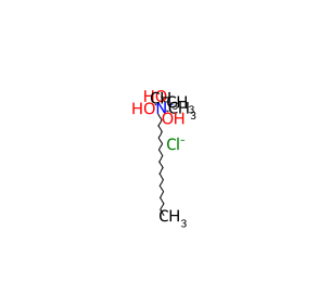 CCCCCCCCCCCCCCCCCC[N+](C(C)O)(C(C)O)C(C)O.[Cl-]